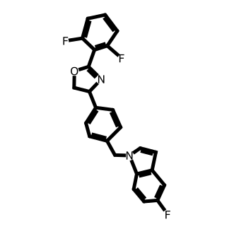 Fc1ccc2c(ccn2Cc2ccc(C3COC(c4c(F)cccc4F)=N3)cc2)c1